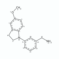 COc1ccc2c(c1)CCN2c1cccc(CN)c1